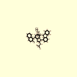 Cc1ccc2ccccc2c1-c1cccc2c1C=C(CC(C)C)C2c1cccc2c1[CH]([Zr+2][SiH](C)C)c1ccccc1-2.[Cl-].[Cl-]